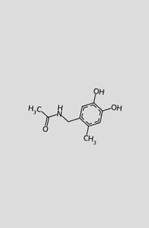 CC(=O)NCc1cc(O)c(O)cc1C